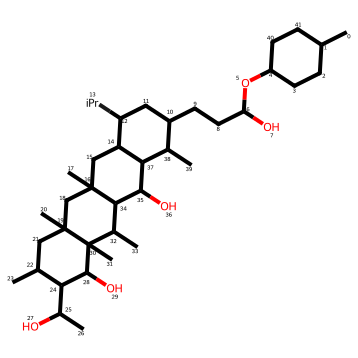 CC1CCC(OC(O)CCC2CC(C(C)C)C3CC4(C)CC5(C)CC(C)C(C(C)O)C(O)C5(C)C(C)C4C(O)C3C2C)CC1